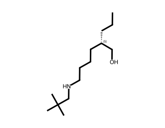 CCC[C@H](CO)CCCCNCC(C)(C)C